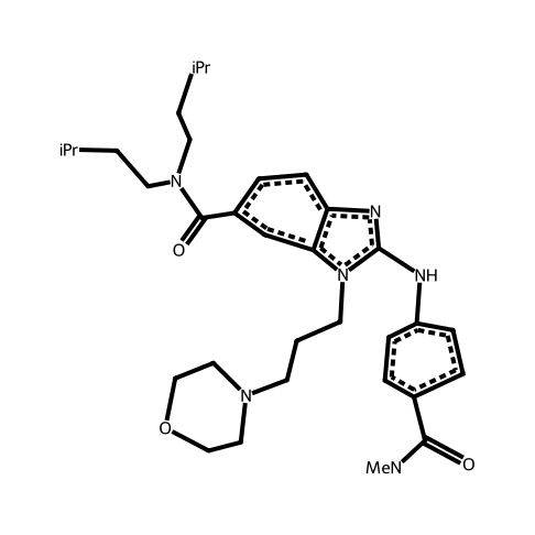 CNC(=O)c1ccc(Nc2nc3ccc(C(=O)N(CCC(C)C)CCC(C)C)cc3n2CCCN2CCOCC2)cc1